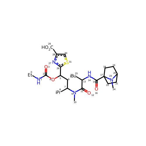 CCNC(=O)OC(CC(C(C)C)N(C)C(=O)C(NC(=O)C12CCC(CC1)N2C)C(C)CC)c1nc(C(=O)O)cs1